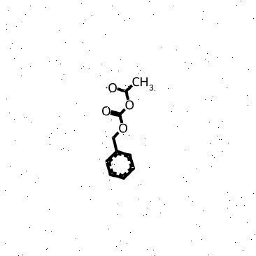 CC([O])OC(=O)OCc1ccccc1